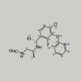 CC[C@@H](N[C@@H](C)CNC=O)c1ccc(Cl)c(Oc2ccccn2)c1F